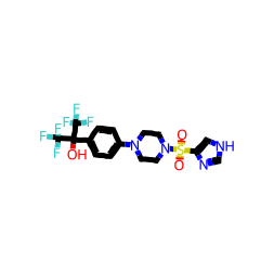 O=S(=O)(c1c[nH]cn1)N1CCN(c2ccc(C(O)(C(F)(F)F)C(F)(F)F)cc2)CC1